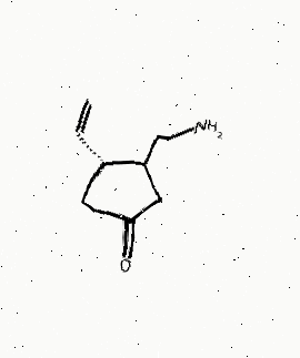 C=C[C@H]1CC(=O)CC1CN